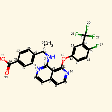 C[C@H](Nc1nccc2ccnc(Oc3ccc(F)c(C(F)(F)F)c3)c12)c1ccc(C(=O)O)cc1